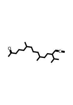 C=C=CC(CCC(C)CCCC(C)CCCC(C)=O)C(C)C